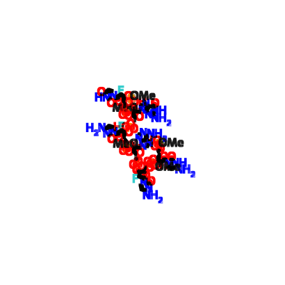 COC1C(OP(=O)(O)OC[C@H]2O[C@@H](n3ccc(=O)[nH]c3=O)[C@@H](F)C2OP(=O)(O)OC)[C@@H](COP(=O)(O)OC2[C@@H](COP(=O)(O)OC3[C@@H](COP(=O)(O)OC4[C@@H](COP(=O)(O)OC5[C@@H](COP(=O)(O)OC)O[C@@H](N6C=CC(N)NC6=O)[C@H]5OC)O[C@@H](n5ccc(N)nc5=O)[C@H]4F)O[C@@H](n4cnc5c(N)ncnc54)[C@H]3OC)O[C@@H](n3ccc(N)nc3=O)[C@H]2F)O[C@H]1n1cnc2c(=O)[nH]c(N)nc21